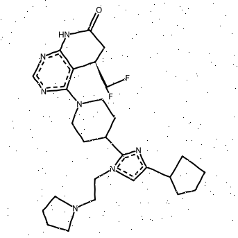 O=C1C[C@@H](C(F)F)c2c(ncnc2N2CCC(c3nc(C4CCCC4)cn3CCN3CCCC3)CC2)N1